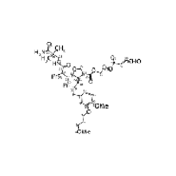 COCCCOc1cc(C[C@@H](C[C@H]2[C@H](C[C@H](C(=O)NCC(C)(C)C(N)=O)C(C)C)OCN2C(=O)OCOOC(=O)C=CC=O)C(C)C)ccc1OC